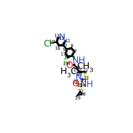 CC(C)(C(=O)Nc1ccc(-c2cncc(Cl)c2)cc1F)c1csc(N[S+]([O-])C2CC2)n1